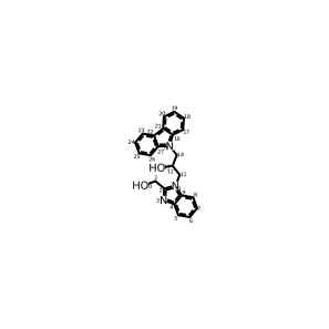 OCc1nc2ccccc2n1CC(O)Cn1c2ccccc2c2ccccc21